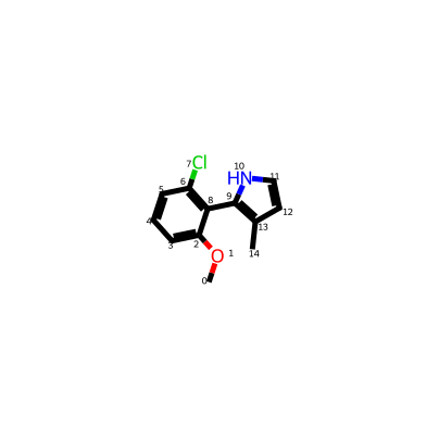 COc1cccc(Cl)c1-c1[nH]ccc1C